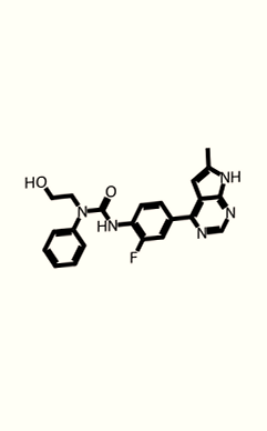 Cc1cc2c(-c3ccc(NC(=O)N(CCO)c4ccccc4)c(F)c3)ncnc2[nH]1